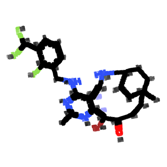 Cc1nc(NCc2cccc(C(F)F)c2F)c2/c(n1)=C(/Br)C(=O)CCC1(C)CCC(CC1)N/C=2